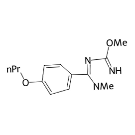 CCCOc1ccc(/C(=N/C(=N)OC)NC)cc1